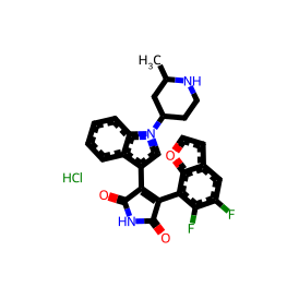 CC1CC(n2cc(C3=C(c4c(F)c(F)cc5ccoc45)C(=O)NC3=O)c3ccccc32)CCN1.Cl